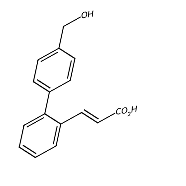 O=C(O)/C=C/c1ccccc1-c1ccc(CO)cc1